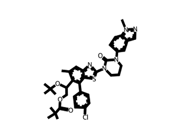 Cc1cc2nc(N3CCCN(c4ccc5c(cnn5C)c4)C3=O)sc2c(-c2ccc(Cl)cc2)c1C(COC(=O)C(C)(C)C)OC(C)(C)C